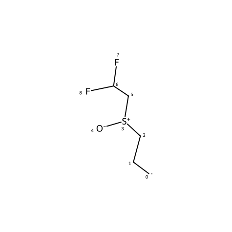 [CH2]CC[S+]([O-])CC(F)F